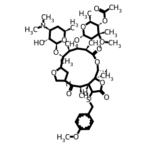 COc1ccc(CSC2C(=O)O[C@@]3(C)[C@H]2[C@@H](C)C(=O)[C@@H]2CO[C@](C)(C2)[C@H](O[C@@H]2O[C@H](C)C[C@H](N(C)C)[C@H]2O)[C@@H](C)[C@H](O[C@H]2C[C@@](C)(OC)[C@@H](OC(C)=O)[C@H](C)O2)[C@@H](C)C(=O)O[C@@H]3I)cc1